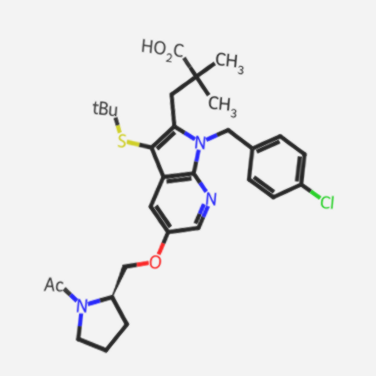 CC(=O)N1CCC[C@@H]1COc1cnc2c(c1)c(SC(C)(C)C)c(CC(C)(C)C(=O)O)n2Cc1ccc(Cl)cc1